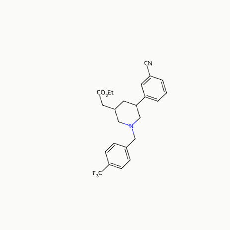 CCOC(=O)CC1CC(c2cccc(C#N)c2)CN(Cc2ccc(C(F)(F)F)cc2)C1